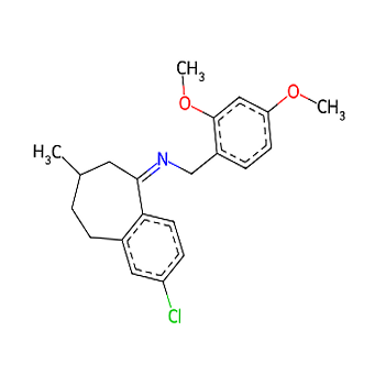 COc1ccc(C/N=C2/CC(C)CCc3cc(Cl)ccc32)c(OC)c1